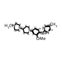 COc1cc(N2CCC(N3CCN(C)CC3)CC2)ccc1Nc1ncc(C)cn1